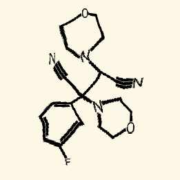 N#CC(N1CCOCC1)C(C#N)(c1cccc(F)c1)N1CCOCC1